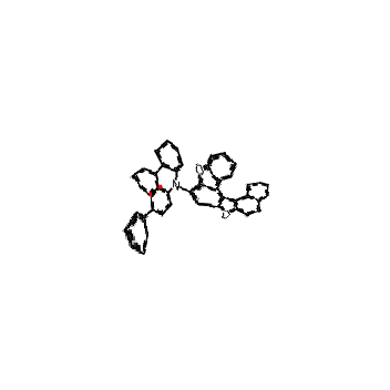 c1ccc(-c2ccc(N(c3ccccc3-c3ccccc3)c3cc4oc5ccc6ccccc6c5c4c4c3oc3ccccc34)cc2)cc1